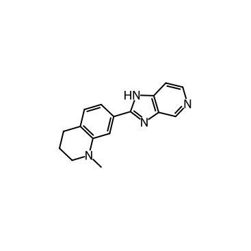 CN1CCCc2ccc(-c3nc4cnccc4[nH]3)cc21